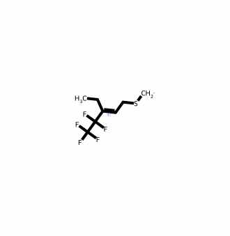 [CH2]SC/C=C(\CC)C(F)(F)C(F)(F)F